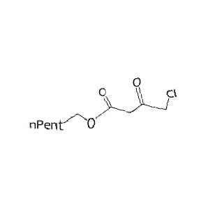 CCCCCCOC(=O)CC(=O)CCl